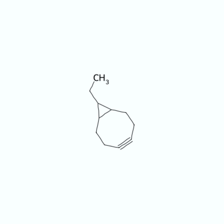 CCC1C2CCC#CCCC12